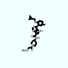 COCC(=O)N1CCC(NC(=O)c2c[nH]c3c(-c4cc(F)ccc4OCC4CC4)ncnc23)CC1